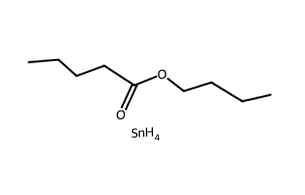 CCCCOC(=O)CCCC.[SnH4]